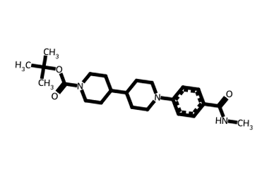 CNC(=O)c1ccc(N2CCC(C3CCN(C(=O)OC(C)(C)C)CC3)CC2)cc1